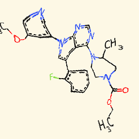 CCOC(=O)N1CCN(c2ncnc3c2c(-c2ccccc2F)cn3-c2cncc(OC)c2)C(C)C1